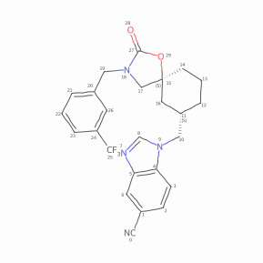 N#Cc1ccc2c(c1)ncn2C[C@H]1CCC[C@]2(C1)CN(Cc1cccc(C(F)(F)F)c1)C(=O)O2